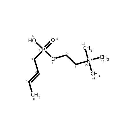 CC=CCP(=O)(O)OCC[N+](C)(C)C